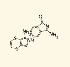 NC1=NC(=O)c2ccccc21.Nc1[nH]cc2c1SC=CS2